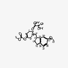 COC(=O)OC1=CCCN(CC2CCc3ccc(OC)cc32)C1.O=C(O)C(=O)O